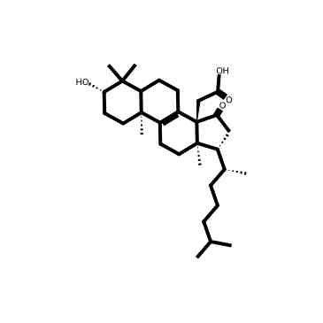 CC(C)CCC[C@@H](C)[C@H]1CC(=O)[C@@]2(CC(=O)O)C3=C(CC[C@]12C)[C@@]1(C)CC[C@H](O)C(C)(C)C1CC3